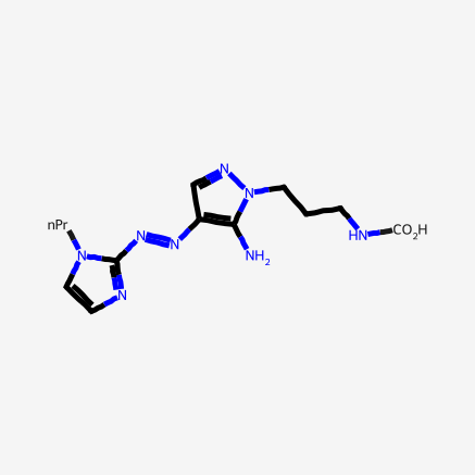 CCCn1ccnc1N=Nc1cnn(CCCNC(=O)O)c1N